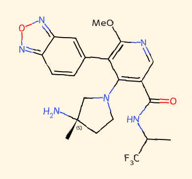 COc1ncc(C(=O)NC(C)C(F)(F)F)c(N2CC[C@](C)(N)C2)c1-c1ccc2nonc2c1